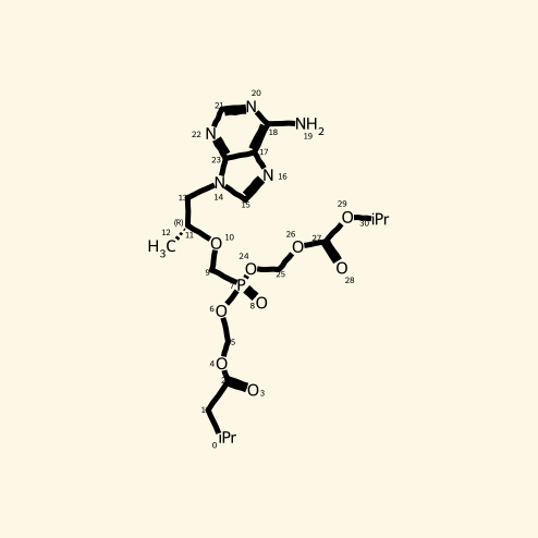 CC(C)CC(=O)OCOP(=O)(CO[C@H](C)Cn1cnc2c(N)ncnc21)OCOC(=O)OC(C)C